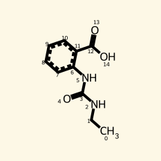 CCNC(=O)Nc1ccccc1C(=O)O